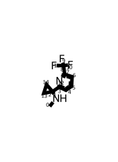 CNC1(c2cccc(C(F)(F)F)n2)CC1